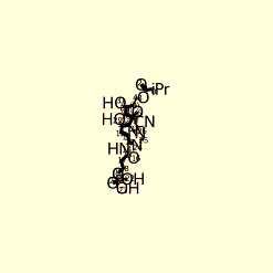 CC(C)C(=O)OC[C@H]1O[C@@](C#N)(c2ccc3c(NC(=O)CCOP(=O)(O)O)ncnn23)[C@H](O)[C@@H]1O